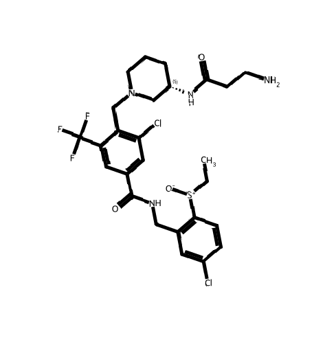 CC[S+]([O-])c1ccc(Cl)cc1CNC(=O)c1cc(Cl)c(CN2CCC[C@H](NC(=O)CCN)C2)c(C(F)(F)F)c1